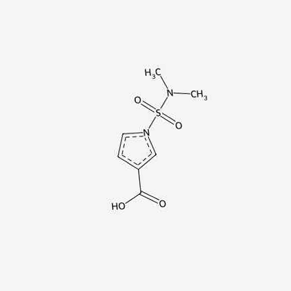 CN(C)S(=O)(=O)n1ccc(C(=O)O)c1